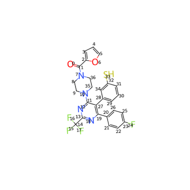 O=C(c1ccco1)N1CCN(c2nc(C(F)(F)F)nc(-c3ccc(F)cc3)c2-c2cccc(S)c2)CC1